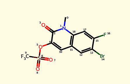 Cn1c(=O)c(OS(=O)(=O)C(F)(F)F)cc2cc(Br)c(F)cc21